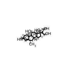 C[C@H]1C[C@@H]2[C@H]([C@@H](O)C[C@@]3(C)[C@H]2CC[C@]3(O)/C(CO)=N/O)[C@@]2(C)CCC(=N)C=C12